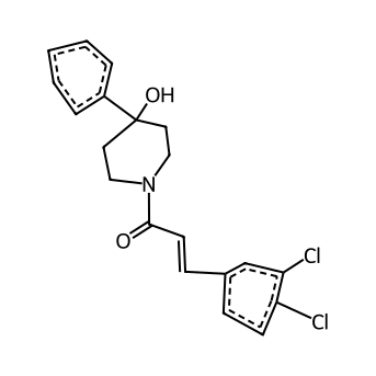 O=C(/C=C/c1ccc(Cl)c(Cl)c1)N1CCC(O)(c2ccccc2)CC1